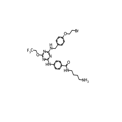 NCCCCNC(=O)c1ccc(Nc2nc(NCc3ccc(OCCBr)cc3)nc(OCC(F)(F)F)n2)cc1